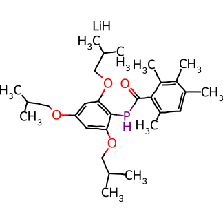 Cc1cc(C)c(C(=O)Pc2c(OCC(C)C)cc(OCC(C)C)cc2OCC(C)C)c(C)c1C.[LiH]